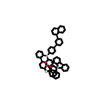 c1cc(-c2ccc(N(c3ccc(-c4ccccc4-n4c5ccccc5c5ccccc54)cc3)c3ccccc3-c3ccc4oc5c6ccccc6ccc5c4c3)cc2)cc(-c2cccc3ccccc23)c1